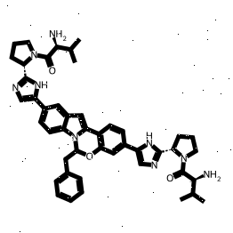 CC(C)[C@H](N)C(=O)N1CCC[C@H]1c1ncc(-c2ccc3c(c2)OC(Cc2ccccc2)n2c-3cc3cc(-c4cnc([C@@H]5CCCN5C(=O)[C@@H](N)C(C)C)[nH]4)ccc32)[nH]1